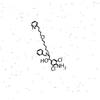 Nc1c(Cl)cc(C(O)CN(CCCCCCOCCCCc2ccccn2)Cc2ccccc2)cc1Cl